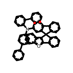 c1ccc(-c2ccc(N(c3ccc4c(c3)C3(c5ccccc5-4)c4ccccc4-c4oc5ccccc5c43)c3ccccc3-c3ccccc3)cc2)cc1